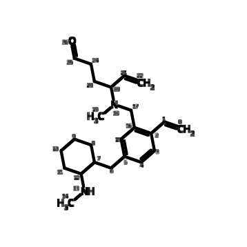 C=Cc1ccc(CC2CCCCC2NC)cc1CN(C)C(C=C)CCC=O